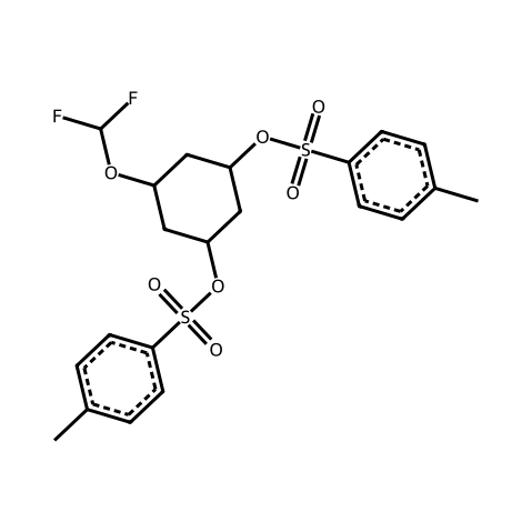 Cc1ccc(S(=O)(=O)OC2CC(OC(F)F)CC(OS(=O)(=O)c3ccc(C)cc3)C2)cc1